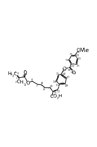 C=C(C)C(=O)OCCCCCC(=Cc1ccc(OC(=O)c2ccc(OC)cc2)cc1)C(=O)O